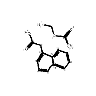 CCOC(C)=O.O=C(O)Cc1cccc2ccccc12